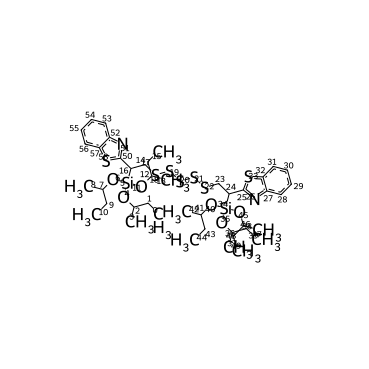 CCC(C)O[Si](OC(C)CC)(OC(C)CC)C(CSSSSSCC(c1nc2ccccc2s1)[Si](OC(C)CC)(OC(C)CC)OC(C)CC)c1nc2ccccc2s1